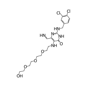 N=Cc1nc(NCc2ccc(Cl)c(Cl)c2)[nH]c(=O)c1NCCOCCOCCOCCO